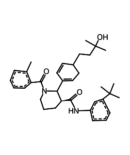 Cc1ccccc1C(=O)N1CCC[C@H](C(=O)Nc2cccc(C(C)(C)C)c2)C1C1=CCC(CCC(C)(C)O)C=C1